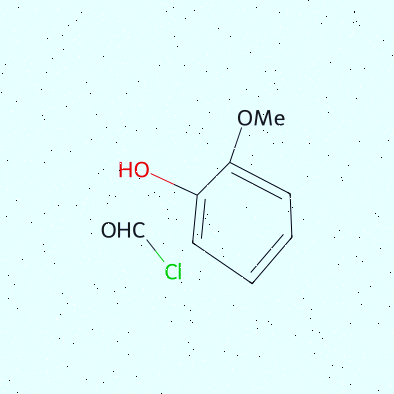 COc1ccccc1O.O=CCl